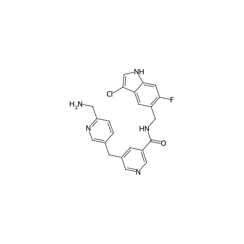 NCc1ccc(Cc2cncc(C(=O)NCc3cc4c(Cl)c[nH]c4cc3F)c2)cn1